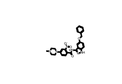 CN1CCN(c2ccc(C(=O)Nc3n[nH]c4ccc(OCc5ccccc5)cc34)c([N+](=O)[O-])c2)CC1